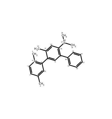 Cc1cc[n+](C)c(-c2cc(-c3ccccc3)c([SH](C)C)cc2C)c1